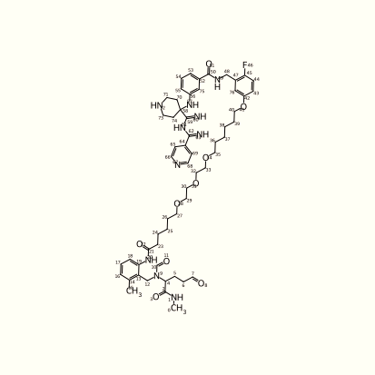 CNC(=O)C(CCC=O)N(C=O)Cc1c(C)cccc1NC(=O)CCCCCOCCOCCOCCCCCCOc1ccc(F)c(CNC(=O)c2cccc(NC3(C(=N)NC(=N)c4ccncc4)CCNCC3)c2)c1